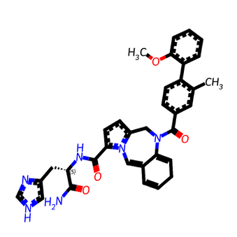 COc1ccccc1-c1ccc(C(=O)N2Cc3ccc(C(=O)N[C@@H](Cc4c[nH]cn4)C(N)=O)n3C=C3C=CCC=C32)cc1C